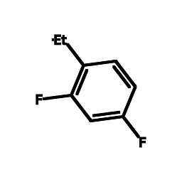 C[CH]c1ccc(F)cc1F